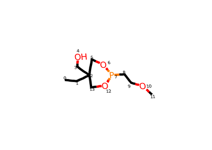 CCC1(CO)COP(CCOC)OC1